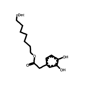 CCCCCCCCCCCCCCCCCOC(=O)Cc1ccc(O)c(O)c1